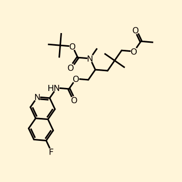 CC(=O)OCC(C)(C)CC(COC(=O)Nc1cc2cc(F)ccc2cn1)N(C)C(=O)OC(C)(C)C